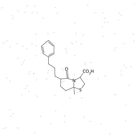 CC12CCC(CCCc3ccccc3)C(=O)N1C(C(=O)O)CS2